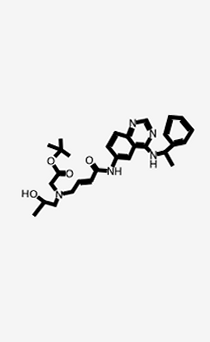 CC(O)CN(CC=CC(=O)Nc1ccc2ncnc(NC(C)c3ccccc3)c2c1)CC(=O)OC(C)(C)C